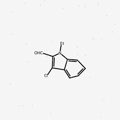 CCn1c(C=O)c(Cl)c2ccccc21